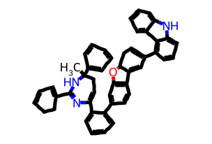 CC1(c2ccccc2)CC=C(c2ccccc2-c2ccc3c(c2)OC2CC=C(c4cccc5[nH]c6ccccc6c45)C=C32)N=C(C2=CC=CCC2)N1